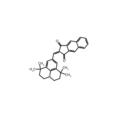 CC1(C)CCN2CCC(C)(C)c3cc(C=C4C(=O)c5cc6ccccc6cc5C4=O)cc1c32